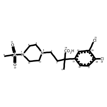 CC(CCN1CCN(S(C)(=O)=O)CC1)(C(=O)O)c1ccc(Cl)c(Cl)c1